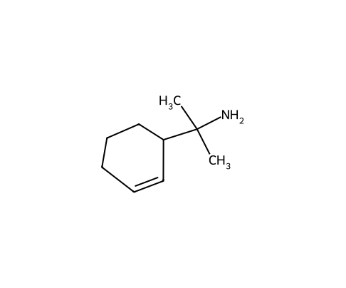 CC(C)(N)C1C=CCCC1